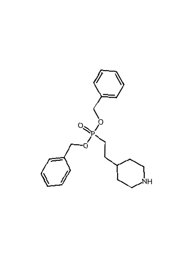 O=P(CCC1CCNCC1)(OCc1ccccc1)OCc1ccccc1